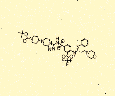 CN(c1ccc(S(=O)(=O)Nc2nnc3n2CCN(C2CCN(C(=O)OC(C)(C)C)CC2)C3)cc1S(=O)(=O)C(F)(F)F)[C@@H](CCN1CCOCC1)Sc1ccccc1